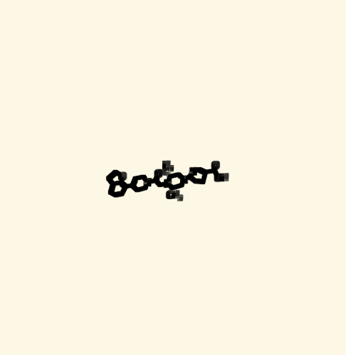 C[C@@H]1CN(c2ccc(C(=O)O)cn2)C[C@H](C)N1CC(=O)N1CC=C(c2cccc3ccoc23)CC1